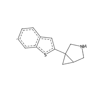 [c]1ccc2cc(C34CNCC3C4)sc2c1